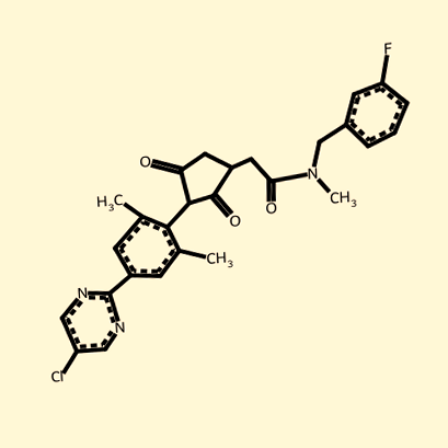 Cc1cc(-c2ncc(Cl)cn2)cc(C)c1C1C(=O)CC(CC(=O)N(C)Cc2cccc(F)c2)C1=O